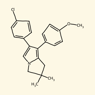 COc1ccc(-c2c(-c3ccc(Cl)cc3)cn3c2CC(C)(C)C3)cc1